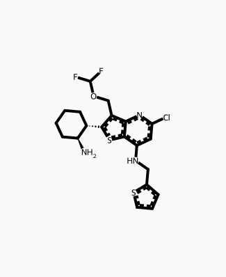 N[C@H]1CCCC[C@@H]1c1sc2c(NCc3cccs3)cc(Cl)nc2c1COC(F)F